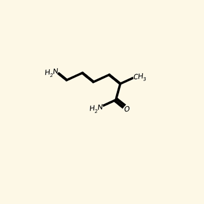 CC(CCCCN)C(N)=O